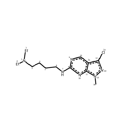 CCN(CC)CCCCNc1ncc2c(Cl)nn(C)c2n1